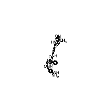 CNC(=O)[C@H](CC(=O)O)NC(=O)COCCOCCNC(=O)CN[C@@H](C(=O)N1CC[C@H]1C(=O)NCc1ccc(C(=N)N)cc1)C1CCCCC1